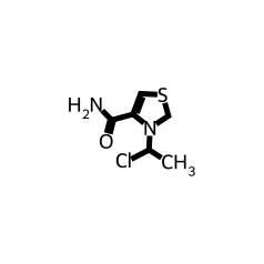 CC(Cl)N1CSC=C1C(N)=O